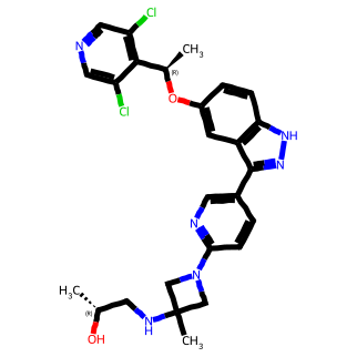 C[C@@H](O)CNC1(C)CN(c2ccc(-c3n[nH]c4ccc(O[C@H](C)c5c(Cl)cncc5Cl)cc34)cn2)C1